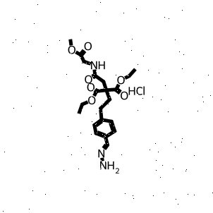 CCOC(=O)C(CCc1ccc(C=NN)cc1)(CC(=O)NCC(=O)OC)C(=O)OCC.Cl